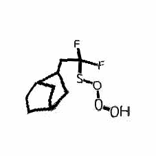 OOOSC(F)(F)CC1CC2CCC1C2